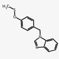 CSOc1ccc(Cn2cnc3ccccc32)cc1